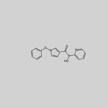 O=C(c1ccn(Oc2ccccc2)c1)N(O)c1ccccn1